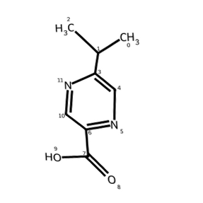 CC(C)c1cnc(C(=O)O)cn1